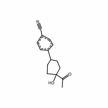 CC(=O)C1(O)CCC(c2ccc(C#N)cc2)CC1